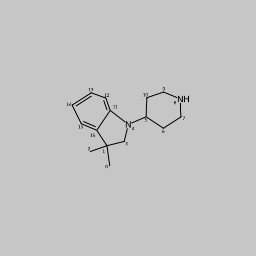 CC1(C)CN(C2CCNCC2)c2ccccc21